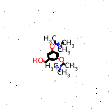 CC(Oc1cc(CO)cc(OC(C)N(C)C)c1)N(C)C